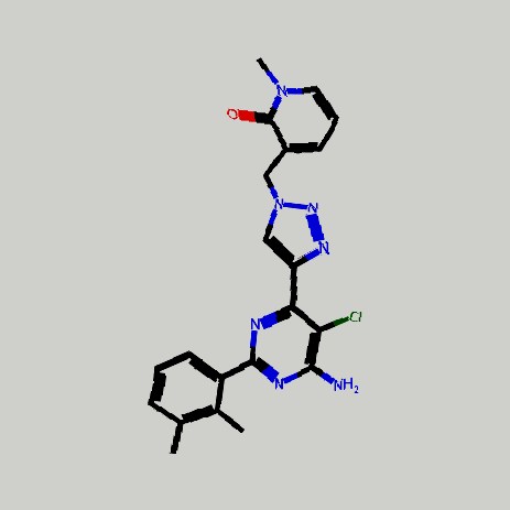 Cc1cccc(-c2nc(N)c(Cl)c(-c3cn(Cc4cccn(C)c4=O)nn3)n2)c1C